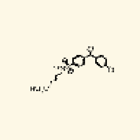 O=C(O)CCCCCNS(=O)(=O)c1ccc(C(=O)c2ccc(Cl)cc2)cc1